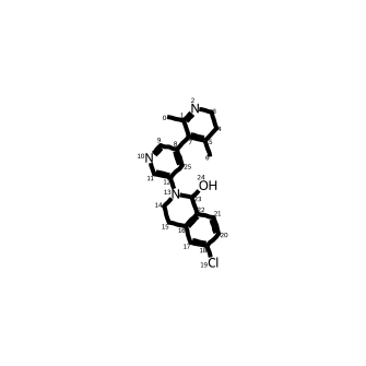 CC1=NCCC(C)=C1c1cncc(N2CCc3cc(Cl)ccc3C2O)c1